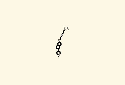 CCCCCCCCOc1ccc2cc(-c3cc[n+](I)cc3)ccc2c1